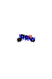 O=C(Nc1cccnc1)N1CCN(c2ccnc(-c3ccccc3)n2)CC1